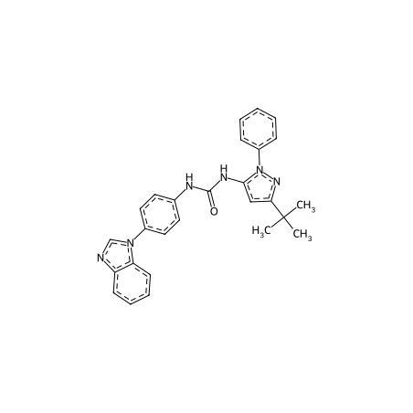 CC(C)(C)c1cc(NC(=O)Nc2ccc(-n3cnc4ccccc43)cc2)n(-c2ccccc2)n1